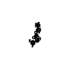 Cc1nnc(-c2cc(OC3CC4(C3)O[C@@H]3CC[C@@H](c5cc(F)cc(F)c5)N3C4=O)ncn2)o1